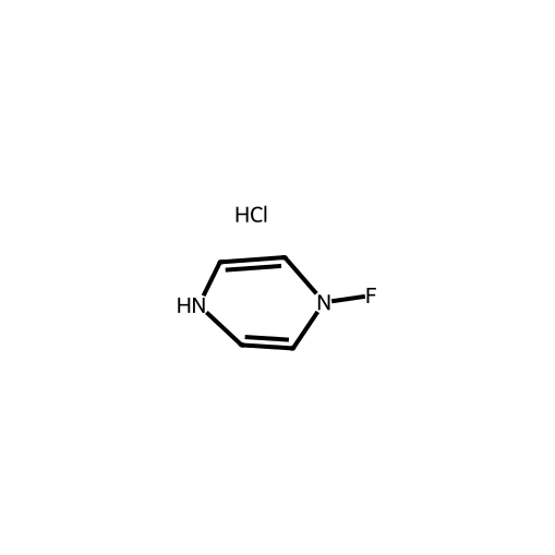 Cl.FN1C=CNC=C1